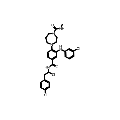 CNC(=O)N1CCCN(c2ccc(C(=O)NC(Cl)Cc3ccc(Cl)cc3)cc2Nc2cccc(Cl)c2)CC1